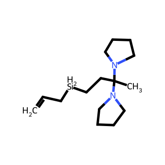 C=CC[SiH2]CCC(C)(N1CCCC1)N1CCCC1